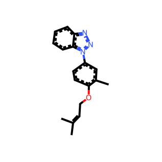 CC(C)=CCOc1ccc(-n2nnc3ccccc32)cc1C